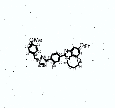 CCOc1cc2c3c(c1)nc(-c1ccc(-c4ncn(Cc5ccc(OC)cc5)n4)c(F)c1)n3CCCCO2